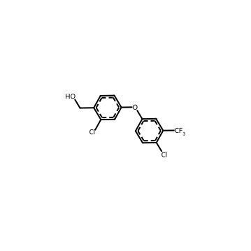 OCc1ccc(Oc2ccc(Cl)c(C(F)(F)F)c2)cc1Cl